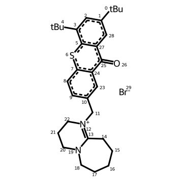 CC(C)(C)c1cc(C(C)(C)C)c2sc3ccc(C[N+]4=C5CCCCCN5CCC4)cc3c(=O)c2c1.[Br-]